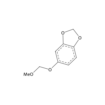 COCOc1ccc2c(c1)OCO2